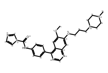 COc1cc2c(-c3ccc(NC(=O)n4ccnc4)cc3)ncnc2cc1OCCCN1CCN(C)CC1